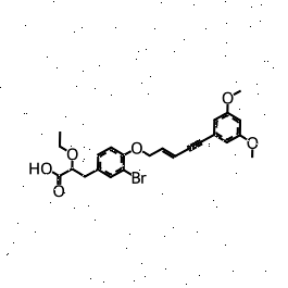 CCOC(Cc1ccc(OCC=CC#Cc2cc(OC)cc(OC)c2)c(Br)c1)C(=O)O